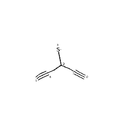 C#CC([S])C#C